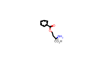 N[C@@H](CCOC(=O)c1ccccc1)C(=O)O